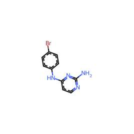 Nc1nccc(Nc2ccc(Br)cc2)n1